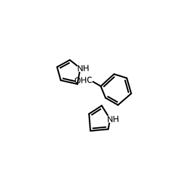 O=Cc1ccccc1.c1cc[nH]c1.c1cc[nH]c1